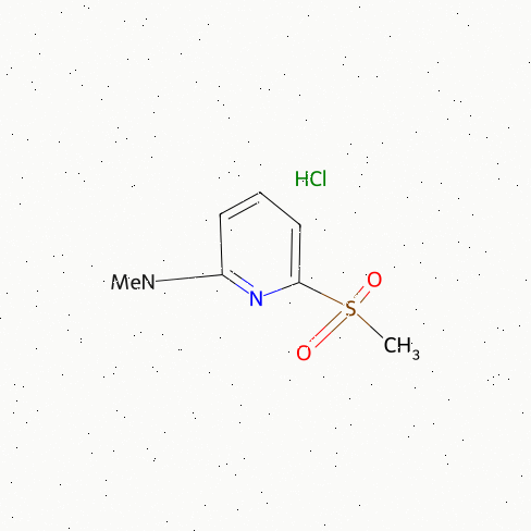 CNc1cccc(S(C)(=O)=O)n1.Cl